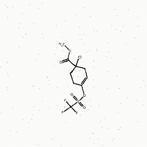 COC(=O)C1(Cl)CC=C(OS(=O)(=O)C(F)(F)F)CC1